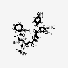 CCCC(=O)OCN(C(=O)[C@@H](NC(=O)[C@H]1CCCCCN1C)C(C)CC)[C@H](C[C@@H](O)c1nc(C(=O)N[C@@H](Cc2ccc(O)cc2)C[C@H](C)C=O)cs1)C(C)C